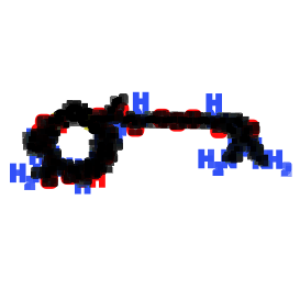 CCCC[C@H](NC(=O)CCC(=O)NCCCOCCOCCOCCCNC(=O)CN1CCN(C(=O)C(CNCCN)CNCCN)CC1)C(=O)N[C@H]1CSCc2cccc(c2)CSCC(C(=O)O)NC(=O)[C@H](Cc2ccccc2)NC(=O)[C@H](CCC(N)=O)NC(=O)[C@H]([C@@H](C)O)NC(=O)[C@@H]2CCCN2C(=O)[C@@H]2CCCN2C1=O